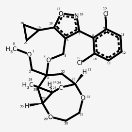 COCC1(OCc2c(-c3c(Cl)cccc3Cl)noc2C2CC2)C[C@H]2C[C@H](C)[C@@H](C1)OCCO2